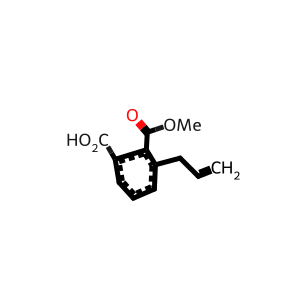 C=CCc1cccc(C(=O)O)c1C(=O)OC